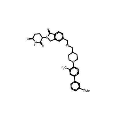 COc1cccc(-c2cnc(N3CCC(CNCc4ccc5c(c4)CN(C4CCC(=O)NC4=O)C5=O)CC3)c(C(F)(F)F)c2)c1